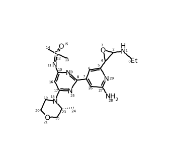 CCNC1OC1c1cc(-c2nc(N=S(C)(C)=O)cc(N3CCOC[C@H]3C)n2)cc(N)n1